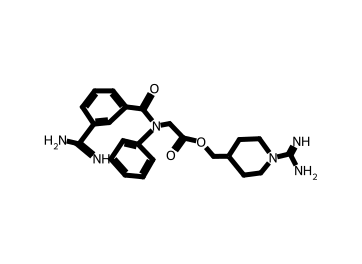 N=C(N)c1cccc(C(=O)N(CC(=O)OCC2CCN(C(=N)N)CC2)c2ccccc2)c1